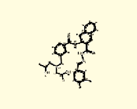 Cc1ccc(C=NNC(=O)c2cc3ccccc3cc2NC(=O)c2cccc(CN(CC(C)O)CC(C)O)c2)cc1C